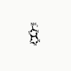 Nc1nc2nnsc2s1